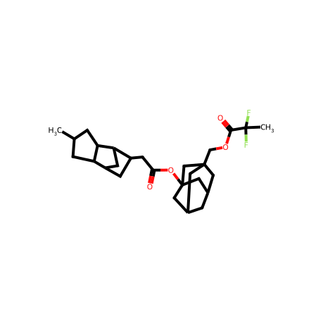 CC1CC2C3CC(CC(=O)OC45CC6CC(CC(COC(=O)C(C)(F)F)(C6)C4)C5)C(C3)C2C1